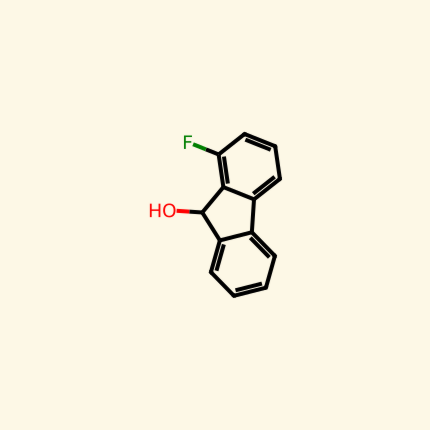 OC1c2ccccc2-c2cccc(F)c21